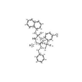 C[C@H](NP(=O)(Oc1ccc(Cl)cc1C(F)(F)F)Oc1cccc2ccccc12)C(=O)OCc1ccccc1